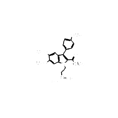 COC(=O)c1c(-c2ccc(OC)cc2)c2cc(OC)c(OC)cc2n1CCN(C)C.Cl